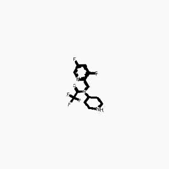 O=C(N(Cc1ncc(F)cc1F)C1CCNCC1)C(F)(F)F